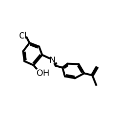 C=C(C)c1ccc(C=Nc2cc(Cl)ccc2O)cc1